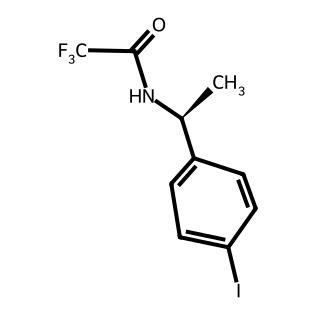 C[C@H](NC(=O)C(F)(F)F)c1ccc(I)cc1